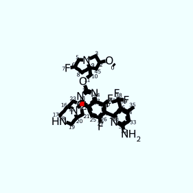 COC1CN2CC(F)CC2(COc2nc(N3C4CNCC3COC4)c3cc(F)c(-c4nc(N)cc(C)c4C(F)(F)F)c(F)c3n2)C1